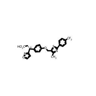 Cc1nc(-c2ccc(C(F)(F)F)cc2)sc1COc1ccc([C@@H](CC(=O)O)c2ccon2)cc1